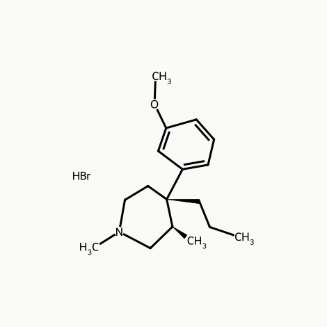 Br.CCC[C@]1(c2cccc(OC)c2)CCN(C)C[C@@H]1C